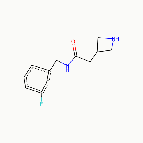 O=C(CC1CNC1)NCc1cccc(F)c1